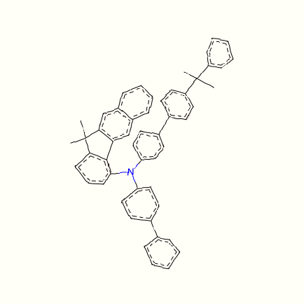 CC(C)(c1ccccc1)c1ccc(-c2ccc(N(c3ccc(-c4ccccc4)cc3)c3cccc4c3-c3cc5ccccc5cc3C4(C)C)cc2)cc1